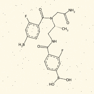 Bc1ccc(C(=O)N(CC(N)=O)[C@H](C)CNC(=O)c2ccc(B(O)O)cc2F)c(F)c1